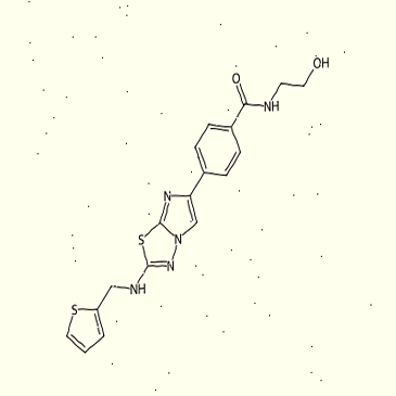 O=C(NCCO)c1ccc(-c2cn3nc(NCc4cccs4)sc3n2)cc1